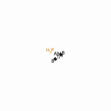 P.[AlH3].[B]#[Ti]#[B]